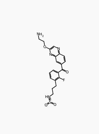 NCCOc1cnc2ccc(C(=O)c3cccc(CCCN[SH](=O)=O)c3F)cc2n1